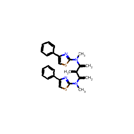 C=C(C(=C)N(C)c1nc(-c2ccccc2)cs1)C(=C)N(C)c1nc(-c2ccccc2)cs1